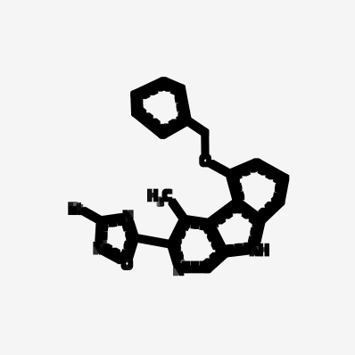 CCc1noc(-c2ncc3[nH]c4cccc(OCc5ccccc5)c4c3c2C)n1